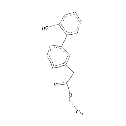 CCOC(=O)Cc1cccc(-c2c[c]ccc2O)c1